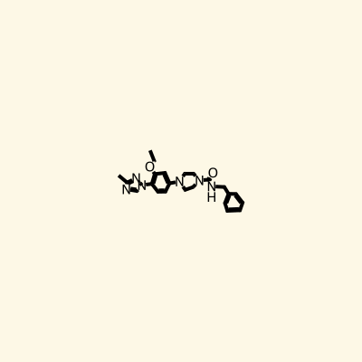 CCOc1cc(N2CCN(C(=O)NCc3ccccc3)CC2)ccc1-n1cnc(C)n1